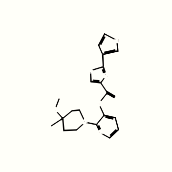 CNC1(C)CCN(c2ncccc2NC(=O)c2csc(-c3cc[nH]c3)n2)CC1